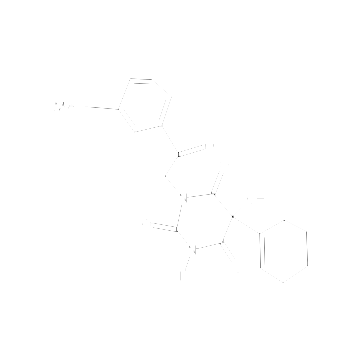 CCN1C(=O)N(CC(=O)c2cccc(OC)c2)C(=O)C(C)(C2=CCCCC2)C1=O